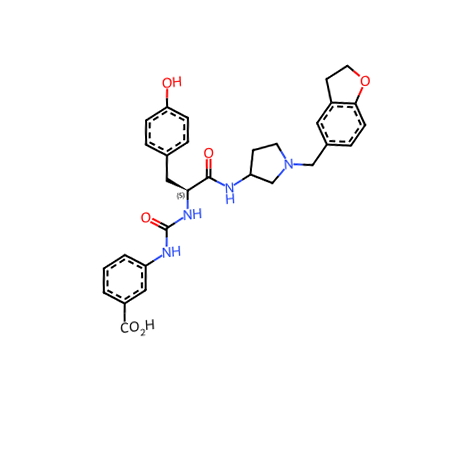 O=C(Nc1cccc(C(=O)O)c1)N[C@@H](Cc1ccc(O)cc1)C(=O)NC1CCN(Cc2ccc3c(c2)CCO3)C1